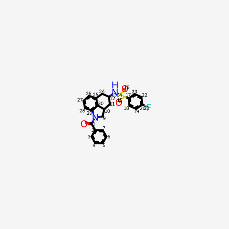 O=C(c1ccccc1)N1CC2CC(NS(=O)(=O)c3ccc(F)cc3)Cc3cccc1c32